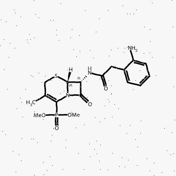 COP(=O)(OC)C1=C(C)CS[C@@H]2[C@H](NC(=O)Cc3ccccc3N)C(=O)N12